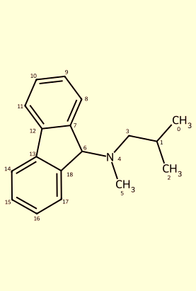 CC(C)CN(C)C1c2ccccc2-c2ccccc21